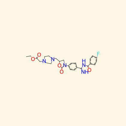 CCOC(=O)CN1CCN(CC2CN(c3ccc(C(=N)NC(=O)c4ccc(F)cc4)cc3)C(=O)O2)CC1